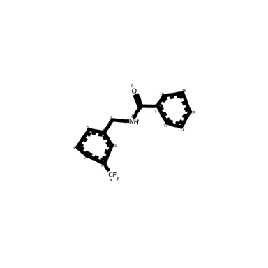 O=C(NCc1cccc(C(F)(F)F)c1)c1ccccc1